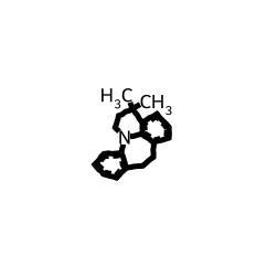 CC1(C)CCN2c3ccccc3CCc3cccc1c32